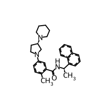 Cc1ccc(N2CC[C@@H](N3CCCCC3)C2)cc1C(=O)N[C@H](C)c1cccc2ccccc12